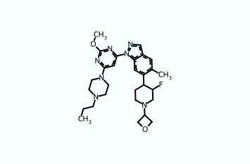 CCCN1CCN(c2cc(-n3ncc4cc(C)c(C5CCN(C6COC6)CC5F)cc43)nc(OC)n2)CC1